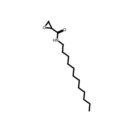 CCCCCCCCCCCCNC(=O)C1CO1